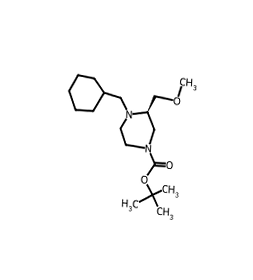 COC[C@H]1CN(C(=O)OC(C)(C)C)CCN1CC1CCCCC1